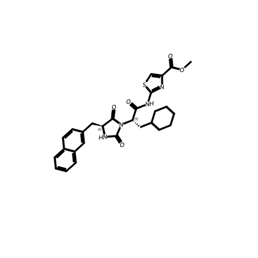 COC(=O)c1csc(NC(=O)[C@H](CC2CCCCC2)N2C(=O)N[C@@H](Cc3ccc4ccccc4c3)C2=O)n1